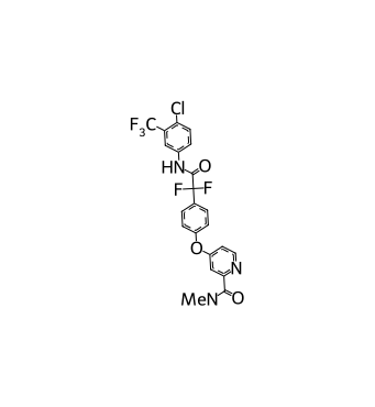 CNC(=O)c1cc(Oc2ccc(C(F)(F)C(=O)Nc3ccc(Cl)c(C(F)(F)F)c3)cc2)ccn1